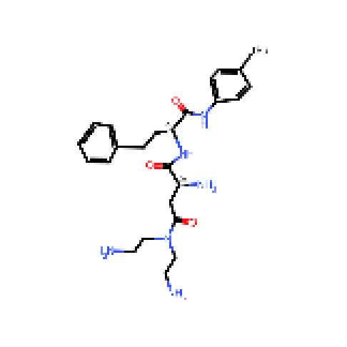 CC(C)(C)c1ccc(NC(=O)[C@H](CCc2ccccc2)NC(=O)[C@@H](N)CC(=O)N(CCN)CCN)cc1